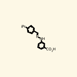 CC(C)c1ccc(/C=N/Nc2cccc(C(=O)O)c2)cc1